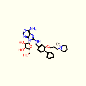 CC[N+]1(CCCOc2cc(CNc3nc4c(N)ncnc4n3[C@@H]3O[C@H](CO)[C@@H](O)[C@H]3O)ccc2-c2ccccc2)CCCCC1